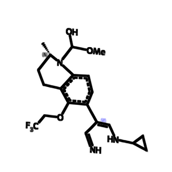 COC(O)N1c2ccc(/C(C=N)=C/NC3CC3)c(OCC(F)(F)F)c2CC[C@@H]1C